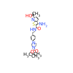 C[C@H](O)c1ccc2c(N)c(C(=O)NCCc3ccc(N4CCN(C(=O)OC(C)(C)C)CC4)cc3)sc2n1